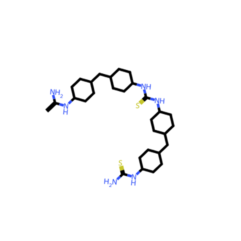 C=C(N)NC1CCC(CC2CCC(NC(=S)NC3CCC(CC4CCC(NC(N)=S)CC4)CC3)CC2)CC1